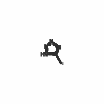 [CH]c1nnn[nH]1